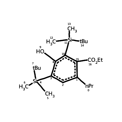 CCCc1cc([Si](C)(C)C(C)(C)C)c(O)c([Si](C)(C)C(C)(C)C)c1C(=O)OCC